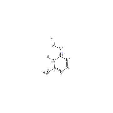 C=C/N=c1/ncnc(N)n1C